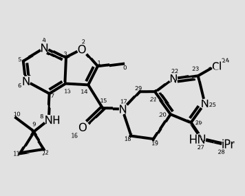 Cc1oc2ncnc(NC3(C)CC3)c2c1C(=O)N1CCc2c(nc(Cl)nc2NC(C)C)C1